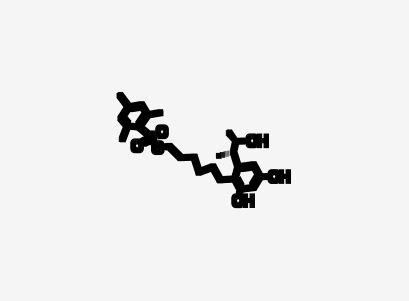 Cc1cc(C)c(S(=O)(=O)OCCCCCCc2c(O)cc(O)cc2[C@H](C)[C@@H](C)O)c(C)c1